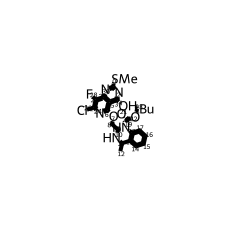 CSc1nc(O)c2c(OCCNC(C)c3ccccc3NC(=O)OC(C)(C)C)nc(Cl)c(F)c2n1